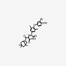 Cc1cc(-n2nc(C(=O)N3CC4(C)CC3CC(C)(C)C4)c(=O)[nH]c2=O)cc(C)c1Oc1ccc(O)c(Br)c1